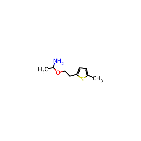 Cc1ccc(CCOC(C)N)s1